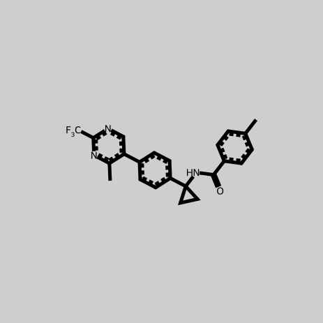 Cc1ccc(C(=O)NC2(c3ccc(-c4cnc(C(F)(F)F)nc4C)cc3)CC2)cc1